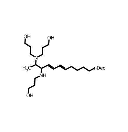 CCCCCCCCCCCCCCC=CC=CC(NCCCO)C(C)N(CCCO)CCCO